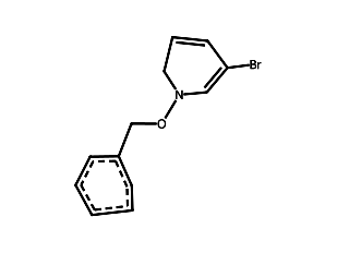 BrC1=CN(OCc2ccccc2)CC=C1